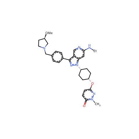 CCNc1cc2c(cn1)c(-c1ccc(CN3CC[C@@H](OC)C3)cc1)nn2[C@H]1CC[C@@H](Oc2ccc(=O)n(C)n2)CC1